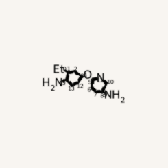 CCc1cc(Oc2ccc(N)cn2)ccc1N